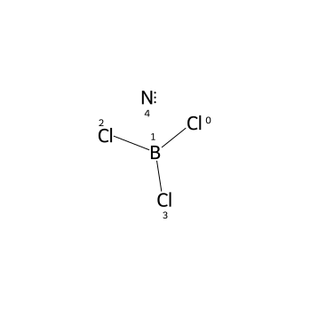 ClB(Cl)Cl.[N]